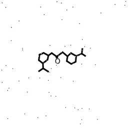 CC(C)C1CCCC(CC(=O)CC2CCCC(C(C)C)C2)C1